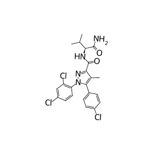 Cc1c(C(=O)N[C@H](C(N)=O)C(C)C)nn(-c2ccc(Cl)cc2Cl)c1-c1ccc(Cl)cc1